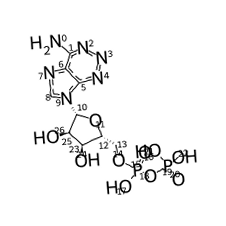 Nc1nnnc2c1ncn2[C@@H]1O[C@H](COP(=O)(O)OP(=O)(O)O)[C@@H](O)[C@H]1O